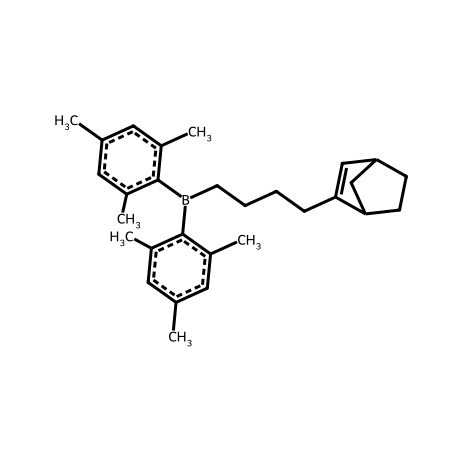 Cc1cc(C)c(B(CCCCC2=CC3CCC2C3)c2c(C)cc(C)cc2C)c(C)c1